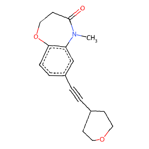 CN1C(=O)CCOc2ccc(C#CC3CCOCC3)cc21